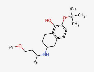 CCC(CCOC(C)C)NC1CCc2c(ccc(O[Si](C)(C)C(C)(C)C)c2O)C1